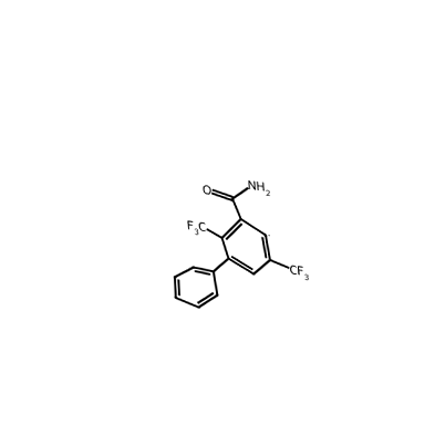 NC(=O)c1[c]c(C(F)(F)F)cc(-c2ccccc2)c1C(F)(F)F